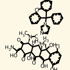 CN(C)[C@@H]1C(=O)/C(=C(\N)O)C(=O)[C@@]2(O)C(=O)C3=C(O)c4c(O)ccc(Cl)c4[C@@](C)(O)[C@H]3C[C@@H]12.Clc1ccccc1C(c1ccccc1)(c1ccccc1)n1ccnc1